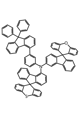 c1ccc(C2(c3ccccc3)c3ccccc3-c3c(-c4cccc(N(c5ccc6c(c5)-c5ccccc5C65c6ccccc6Oc6ccccc65)c5cccc6c5-c5ccccc5C65c6ccccc6Sc6ccccc65)c4)cccc32)cc1